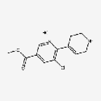 COC(=O)c1cnc(C2=CCNCC2)c(Cl)c1.Cl